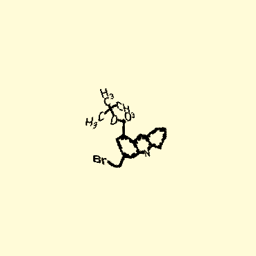 CC(C)(C)OC(=O)c1cc(CBr)cc2nc3ccccc3cc12